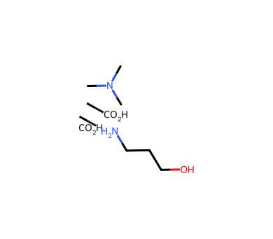 CC(=O)O.CC(=O)O.CN(C)C.NCCCO